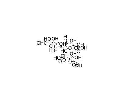 O=C[C@H](O)[C@@H](O)[C@H](O)[C@H](O)CO.O=P(O)(O)OC[C@H]1O[C@H](O)[C@H](O)[C@@H](O)[C@@H]1O.O=P(O)(O)OC[C@H]1O[C@](O)(CO)[C@@H](O)[C@@H]1O